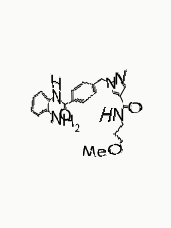 COCCCNC(=O)c1cnn(Cc2ccc(C(=O)Nc3ccccc3N)cc2)c1